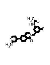 CC(=O)Nc1cc(F)cc(Cn2ccc3cc(-c4ccnc(N)c4)ccc3c2=O)c1